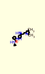 Cc1cc(C)nc(C=Cc2n[nH]c3cc(Nc4ccccc4C(=O)NC4C#C4)ccc23)c1